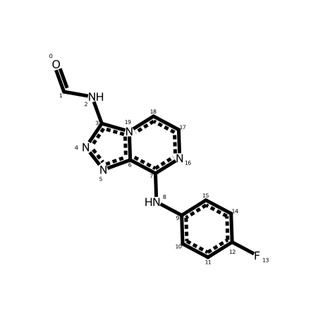 O=CNc1nnc2c(Nc3ccc(F)cc3)nccn12